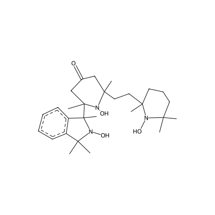 CC1(C)CCCC(C)(CCC2(C)CC(=O)CC(C)(C3(C)c4ccccc4C(C)(C)N3O)N2O)N1O